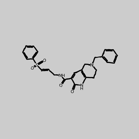 O=C(NC/C=C/S(=O)(=O)c1ccccc1)c1cc2c([nH]c1=O)CCN(Cc1ccccc1)C2